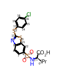 CC(C)[C@@H](NS(=O)(=O)c1ccc2nc(Sc3ccc(Cl)cc3)sc2c1)C(=O)O